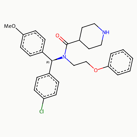 COc1ccc([C@H](c2ccc(Cl)cc2)N(CCOc2ccccc2)C(=O)C2CCNCC2)cc1